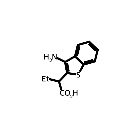 CCC(C(=O)O)c1sc2ccccc2c1N